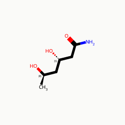 C[C@@H](O)C[C@H](O)CC(N)=O